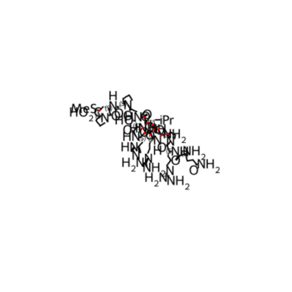 CSCC[C@H](NC(=O)[C@@H]1CCCN1C(=O)CNC(=O)[C@H](CCCCN)NC(=O)[C@H](Cc1cnc[nH]1)NC(=O)[C@H](CO)NC(=O)[C@H](CC(C)C)NC(=O)[C@H](CCCN=C(N)N)NC(=O)[C@@H]1CCCN1C(=O)[C@H](CCCN=C(N)N)NC(=O)[C@@H](N)CCC(N)=O)C(=O)N1CCC[C@H]1C(=O)O